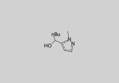 CCCCC(O)c1ccnn1C